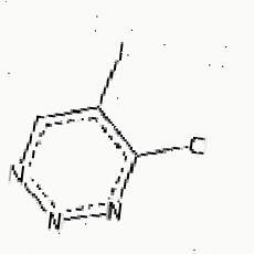 Clc1nnncc1I